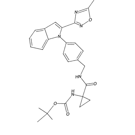 Cc1nc(-c2cc3ccccc3n2-c2ccc(CNC(=O)C3(NC(=O)OC(C)(C)C)CC3)cc2)no1